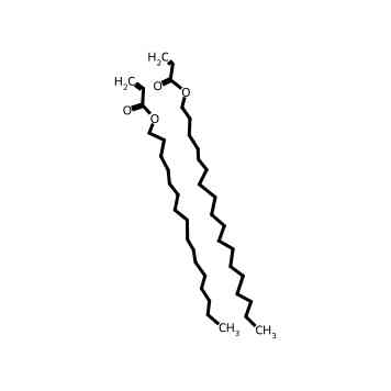 C=CC(=O)OCCCCCCCCCCCCCCCC.C=CC(=O)OCCCCCCCCCCCCCCCCCC